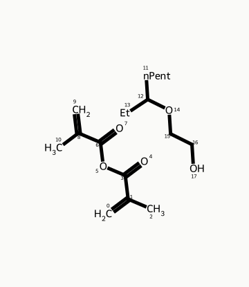 C=C(C)C(=O)OC(=O)C(=C)C.CCCCCC(CC)OCCO